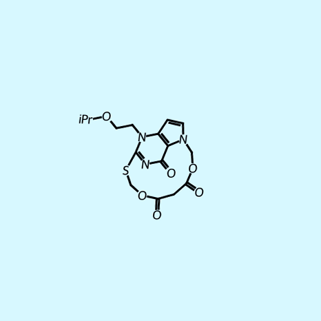 CC(C)OCCn1c2nc(=O)c3c1ccn3COC(=O)CC(=O)OCS2